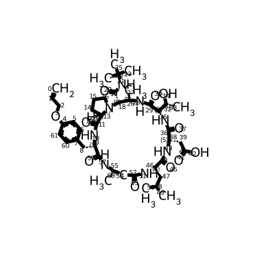 C=CCOc1ccc(C[C@@H]2NC(=O)[C@@H]3CCCN3[C@H](C(=O)NC(C)(C)C)[C@@H](C)NC(=O)[C@H]([C@@H](C)O)NC(=O)[C@H](CC(=O)O)NC(=O)[C@@H](CC(C)C)NC(=O)C[C@H](C)NC2=O)cc1